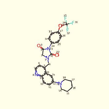 O=C1CN(Cc2ccnc3ccc(N4CCCCC4)cc23)C(=O)N1c1ccc(OC(F)(F)F)cc1